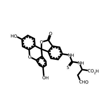 O=CCC(NC(=S)Nc1ccc2c(c1)C(=O)OC21c2ccc(O)cc2Oc2cc(O)ccc21)C(=O)O